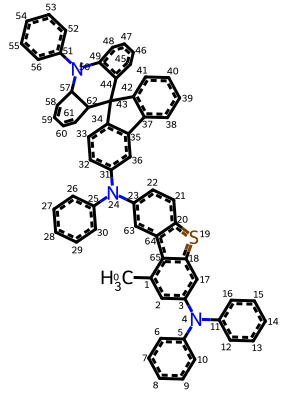 Cc1cc(N(c2ccccc2)c2ccccc2)cc2sc3ccc(N(c4ccccc4)c4ccc5c(c4)-c4ccccc4C54c5ccccc5N(c5ccccc5)C5C=CC=CC54)cc3c12